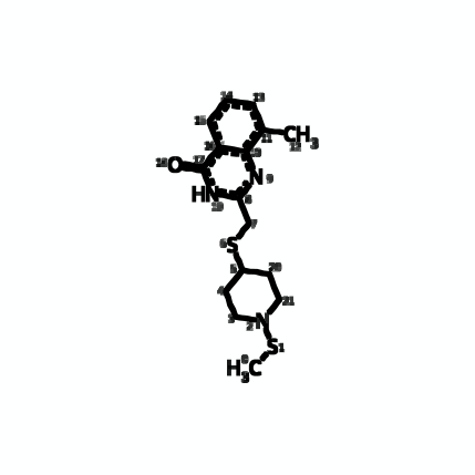 CSN1CCC(SCc2nc3c(C)cccc3c(=O)[nH]2)CC1